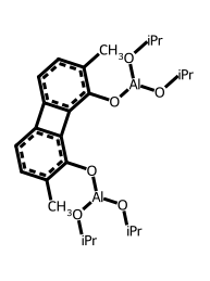 Cc1ccc2c(c1[O][Al]([O]C(C)C)[O]C(C)C)-c1c-2ccc(C)c1[O][Al]([O]C(C)C)[O]C(C)C